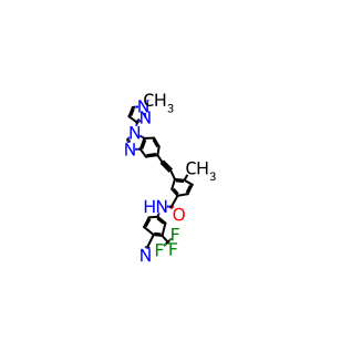 Cc1ccc(C(=O)Nc2ccc(C#N)c(C(F)(F)F)c2)cc1C#Cc1ccc2c(c1)ncn2-c1ccn(C)n1